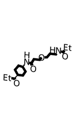 CCC(=O)NCCCOCCC(=O)N[C@H]1CC[C@@H](C(=O)CC)CC1